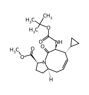 COC(=O)[C@@H]1CC[C@@H]2C/C=C\[C@@H](C3CC3)[C@H](NC(=O)OC(C)(C)C)C(=O)N21